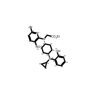 CCOC(=O)CN(c1nc(Br)ccc1[N+](=O)[O-])[C@H]1CC[C@H](N(c2ccccc2O)C2CC2)CC1